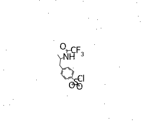 CC(Cc1ccc(S(=O)(=O)Cl)cc1)NC(=O)C(F)(F)F